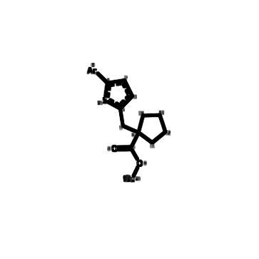 CC(=O)c1ccc(CC2(C(=O)OC(C)(C)C)CCCC2)s1